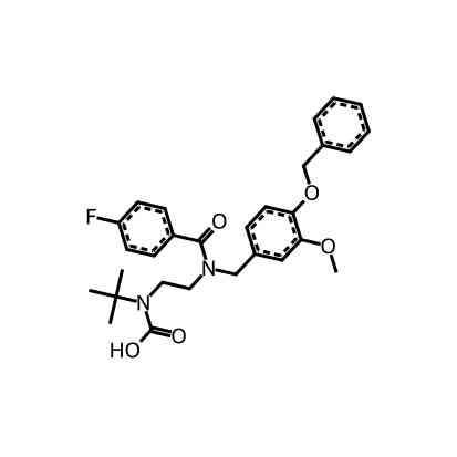 COc1cc(CN(CCN(C(=O)O)C(C)(C)C)C(=O)c2ccc(F)cc2)ccc1OCc1ccccc1